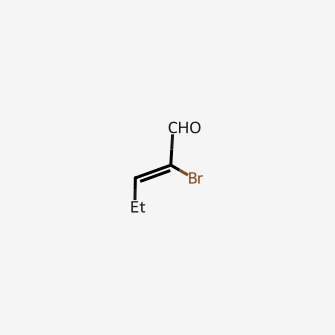 CCC=C(Br)C=O